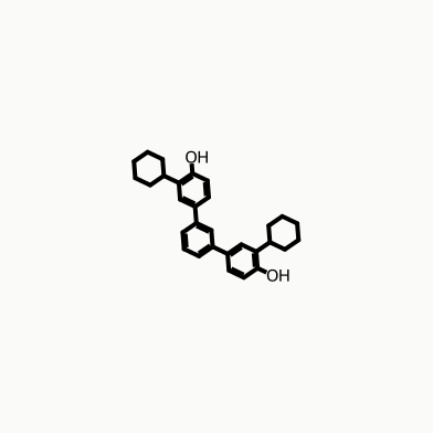 Oc1ccc(-c2cccc(-c3ccc(O)c(C4CCCCC4)c3)c2)cc1C1CCCCC1